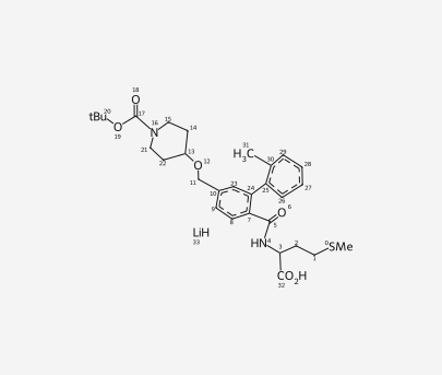 CSCCC(NC(=O)c1ccc(COC2CCN(C(=O)OC(C)(C)C)CC2)cc1-c1ccccc1C)C(=O)O.[LiH]